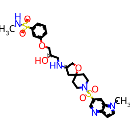 CNS(=O)(=O)c1cccc(OC[C@@H](O)CN[C@H]2COC3(CCN(S(=O)(=O)c4cnc5ccn(C)c5c4)CC3)C2)c1